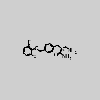 NC[C@H](Cc1ccc(COc2c(F)cccc2F)cc1)C(N)=O